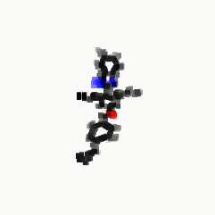 C=Cc1ccc(COc2cc(C)c(-c3nc4ccccc4[nH]3)c(C)c2)cc1